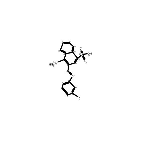 Nc1c(/N=N/c2cccc(Br)c2)cc(S(=O)(=O)O)c2ccccc12.[NaH]